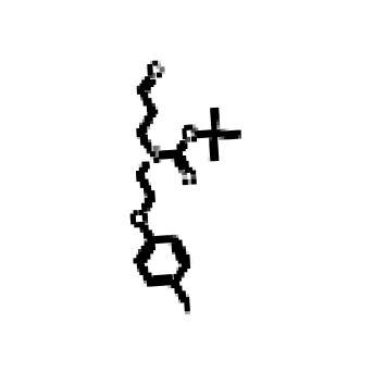 CC(C)(C)OC(=O)N(CCC=O)CCOc1ccc(I)cc1